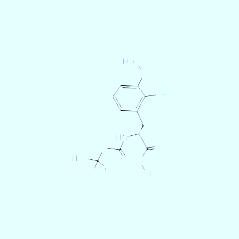 COC(=O)[C@H](Cc1cccc(OC)c1O)NC(=O)OC(C)(C)C